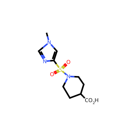 Cn1cnc(S(=O)(=O)N2CCC(C(=O)O)CC2)c1